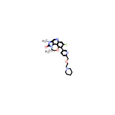 C[C@H]1COc2c(-c3ccc(COCCN4CCCCC4)nc3)c(F)cc3ncc4c(c23)n1c(=O)n4C